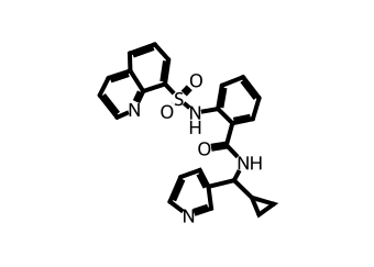 O=C(NC(c1cccnc1)C1CC1)c1ccccc1NS(=O)(=O)c1cccc2cccnc12